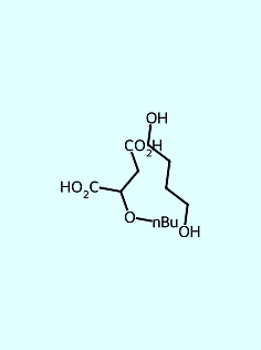 CCCCOC(CC(=O)O)C(=O)O.OCCCCO